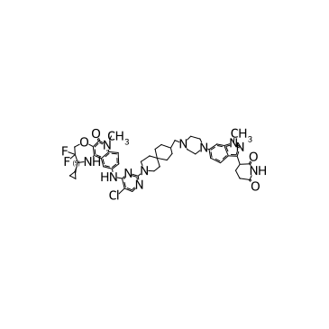 Cn1nc(C2CCC(=O)NC2=O)c2ccc(N3CCN(CC4CCC5(CC4)CCN(c4ncc(Cl)c(Nc6ccc7c(c6)c6c(c(=O)n7C)OCC(F)(F)[C@H](C7CC7)N6)n4)CC5)CC3)cc21